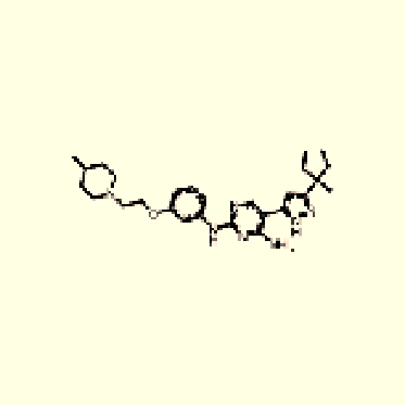 CCC(C)(CC)c1cc(-c2cnc(Nc3cccc(OCCN4CCC(C)CC4)c3)nc2N)[nH]n1